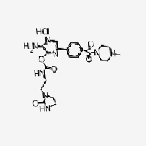 CN1CCN(S(=O)(=O)c2ccc(-c3cnc(N)c(OC(=O)NCCN4CCNC4=O)n3)cc2)CC1.Cl